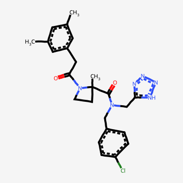 Cc1cc(C)cc(CC(=O)N2CCC2(C)C(=O)N(Cc2ccc(Cl)cc2)Cc2nnn[nH]2)c1